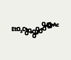 CCOC(=O)CC(=O)OCOC(=O)CC(=O)OCOC(=O)c1ccc(C(C)=O)cc1